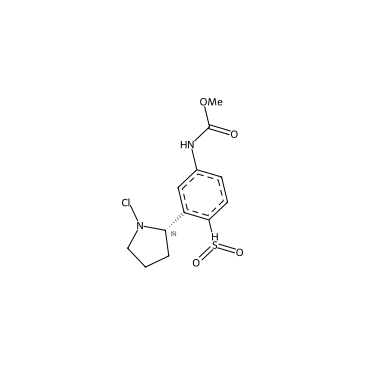 COC(=O)Nc1ccc([SH](=O)=O)c([C@@H]2CCCN2Cl)c1